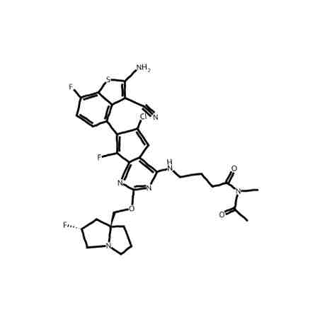 CC(=O)N(C)C(=O)CCCNc1nc(OC[C@@]23CCCN2C[C@H](F)C3)nc2c(F)c(-c3ccc(F)c4sc(N)c(C#N)c34)c(Cl)cc12